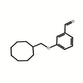 O=Cc1cccc(OCC2CCCCCCC2)c1